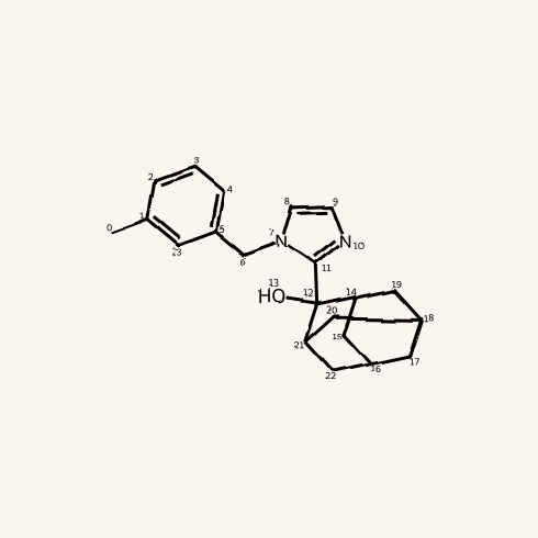 Cc1cccc(Cn2ccnc2C2(O)C3CC4CC(C3)CC2C4)c1